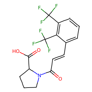 O=C(O)C1CCCN1C(=O)/C=C/c1cc[c]c(C(F)(F)F)c1C(F)(F)F